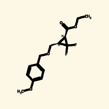 CCOC(=O)[C@@H]1[C@@H](COCc2ccc(OC)cc2)C1(F)F